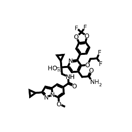 COc1cc(C(=O)NC[C@](O)(c2cc(CC(N)=O)c(OCC(F)F)c(-c3ccc4c(c3)OC(F)(F)O4)n2)C2CC2)cc2cc(C3CC3)nn12